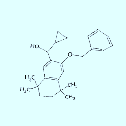 CC1(C)CCC(C)(C)c2cc(C(O)C3CC3)c(OCc3ccccc3)cc21